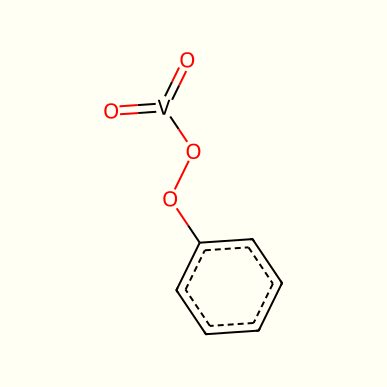 [O]=[V](=[O])[O]Oc1ccccc1